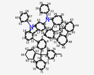 Cc1ccc(C2(c3cccc(-c4cccc5c4c4ccc(N(c6ccccc6)c6cccc7c6-c6ccccc6[Si]76c7ccccc7-c7ccccc76)cc4n5-c4ccccc4)c3)C3=C(CCC=C3)c3ccccc32)cc1